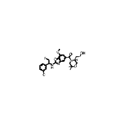 COc1cc(C(=O)N2C[C@H](C)OC[C@@H]2CCO)cc2nc(NC(CF)c3cccc(Cl)c3)oc12